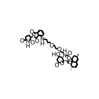 C[C@H]1C=C2C=C[C@H](C)[C@H](CC[C@@H]3C[C@@H](O)CC(=O)O3)[C@H]2[C@@H](OC(=O)NCCOCCOCCCNc2cccc3c2C(=O)N(C2CCC(=O)NC2=O)C3=O)C1